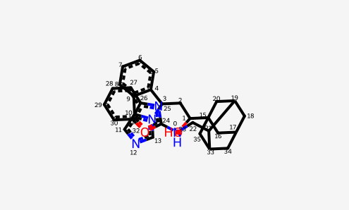 OC(CC1c2ccccc2-c2cncn21)C12CC3CC(C1)C(CNc1nc4ccccc4o1)C(C3)C2